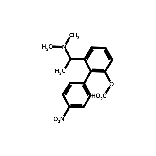 CC(c1cccc(OC(=O)O)c1-c1ccc([N+](=O)[O-])cc1)N(C)C